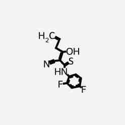 C=CC/C(O)=C(\C#N)C(=S)Nc1ccc(F)cc1F